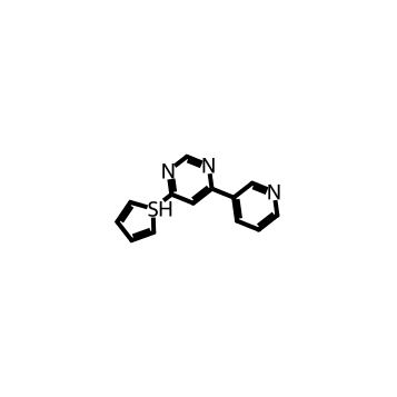 C1=C[SH](c2cc(-c3cccnc3)ncn2)C=C1